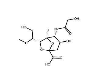 COC(CO)[C@H]1OC2(C(=O)O)C[C@H](O)[C@@H](NC(=O)CO)[C@H]1O2